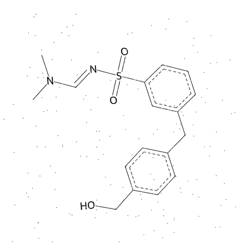 CN(C)C=NS(=O)(=O)c1cccc(Cc2ccc(CO)cc2)c1